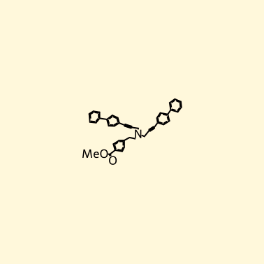 COC(=O)c1ccc(CCN(CC#Cc2ccc(-c3ccccc3)cc2)CC#Cc2ccc(-c3ccccc3)cc2)cc1